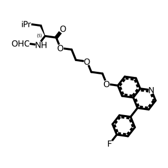 CC(C)C[C@H](NC=O)C(=O)OCCOCCOc1ccc2nccc(-c3ccc(F)cc3)c2c1